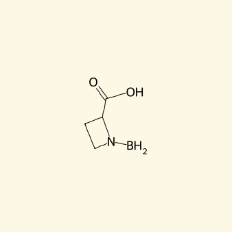 BN1CCC1C(=O)O